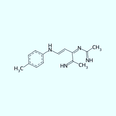 CC(=N)/N=C(/C=C/Nc1ccc(C)cc1)C(C)=N